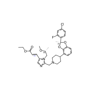 CCOC(=O)/C=C/c1cnc(CN2CCC(c3cccc4c3O[C@@](C)(c3ccc(Cl)cc3F)O4)CC2)n1C[C@@H](C)OC